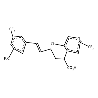 O=C(O)C(CCC=Cc1cc(C(F)(F)F)cc(C(F)(F)F)c1)c1cc(C(F)(F)F)ncc1Cl